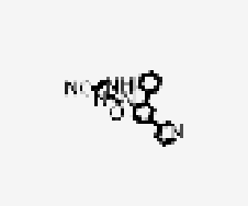 N#Cc1c[nH]c(C(=O)Nc2ccc(-c3cccnc3)cc2C2=CCCCC2)n1